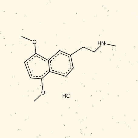 CNCCc1ccc2c(OC)ccc(OC)c2c1.Cl